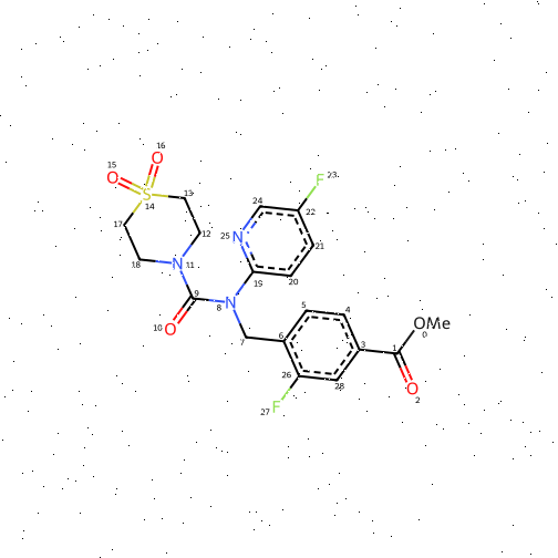 COC(=O)c1ccc(CN(C(=O)N2CCS(=O)(=O)CC2)c2ccc(F)cn2)c(F)c1